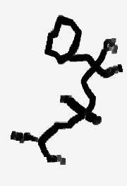 N=S(=O)(CC[C@H](N)C(=O)O)CCC(O)(C1CCCCC1)C(F)(F)F